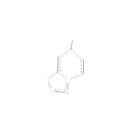 CCc1ccn2nnnc2c1